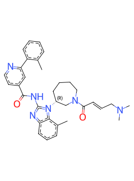 Cc1ccccc1-c1cc(C(=O)Nc2nc3cccc(C)c3n2[C@@H]2CCCCN(C(=O)C=CCN(C)C)C2)ccn1